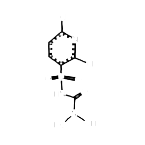 CN(C)C(=O)NS(=O)(=O)c1ccc(Cl)nc1Cl